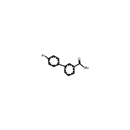 CC(=O)c1ccc(-c2cccc(C(=O)C(C)(C)C)c2)cc1